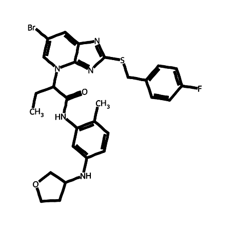 CCC(C(=O)Nc1cc(NC2CCOC2)ccc1C)n1cc(Br)cc2nc(SCc3ccc(F)cc3)nc1-2